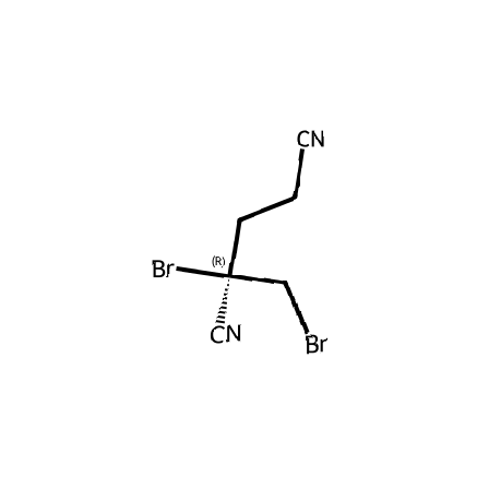 N#CCC[C@@](Br)(C#N)CBr